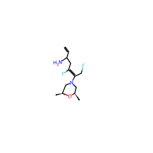 C=CC(N)C/C(F)=C(\CF)N1C[C@@H](C)O[C@@H](C)C1